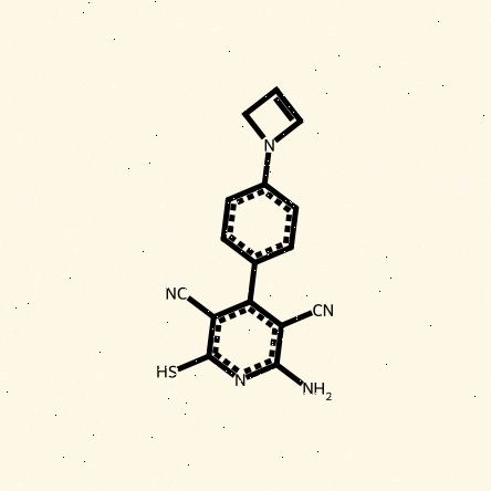 N#Cc1c(N)nc(S)c(C#N)c1-c1ccc(N2C=CC2)cc1